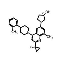 Cc1ccccc1C1CCN(c2nc(C3(F)CC3)nc3c(C)cc(N4CC[C@@H](O)C4)cc23)CC1